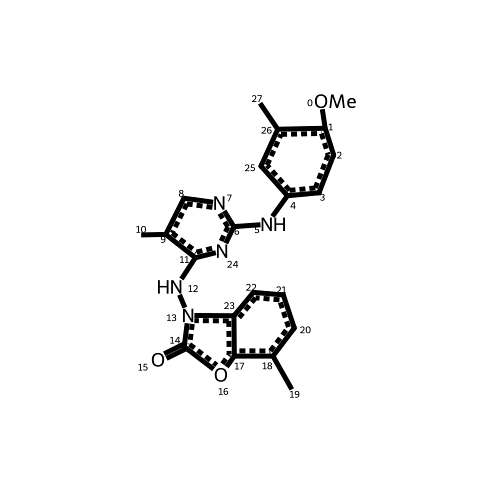 COc1ccc(Nc2ncc(C)c(Nn3c(=O)oc4c(C)cccc43)n2)cc1C